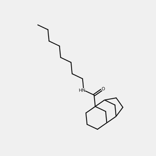 CCCCCCCCNC(=O)C12CCCC(C1)C1CCC2C1